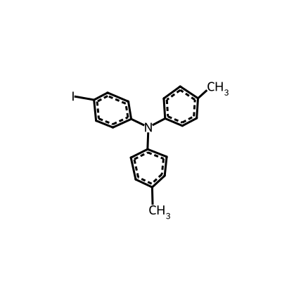 Cc1ccc(N(c2ccc(C)cc2)c2ccc(I)cc2)cc1